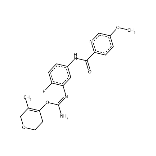 COc1ccc(C(=O)Nc2ccc(F)c(/N=C(/N)OC3=C(C)COCC3)c2)nc1